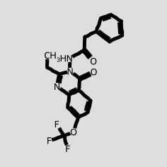 CCc1nc2cc(OC(F)(F)F)ccc2c(=O)n1NC(=O)Cc1ccccc1